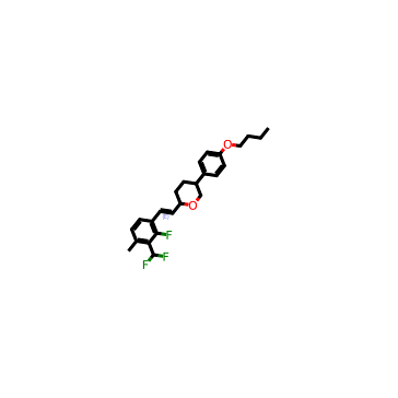 CCCCOc1ccc(C2CCC(/C=C/c3ccc(C)c(C(F)F)c3F)OC2)cc1